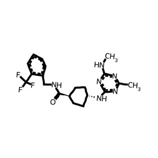 CNc1nc(C)nc(N[C@H]2CC[C@H](C(=O)NCc3ccccc3C(F)(F)F)CC2)n1